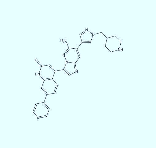 Cc1nn2c(-c3cc(=O)[nH]c4cc(-c5ccncc5)ccc34)cnc2cc1-c1cnn(CC2CCNCC2)c1